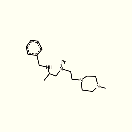 CC(CN(CCN1CCN(C)CC1)C(C)C)NCc1ccccc1